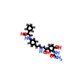 NC(=O)Nc1cc(C(O)CNCCc2ccc(NCC(O)c3ccccc3)cc2)ccc1O